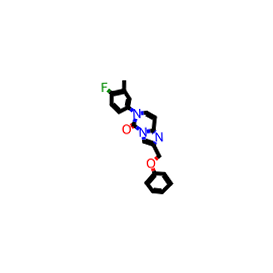 Cc1cc(-n2ccc3nc(COc4ccccc4)cn3c2=O)ccc1F